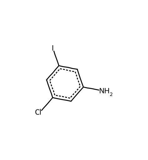 Nc1cc(Cl)cc(I)c1